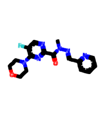 CN(N=Cc1ccccn1)C(=O)c1ncc(F)c(N2CCOCC2)n1